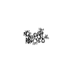 O=C(Nc1sc2c(c1C(=O)N1CCC3(CC3)C1)C[C@H](n1cnnc1Nc1cccnc1)CC2)C1CC1